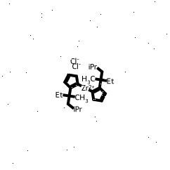 CCC(C)(CC(C)C)C1=[C]([Zr+2][C]2=C(C(C)(CC)CC(C)C)C=CC2)CC=C1.[Cl-].[Cl-]